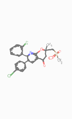 CC1(CS(C)(=O)=O)CC(=O)c2cc(-c3ccc(Cl)cc3)c(-c3ccccc3Cl)nc2O1